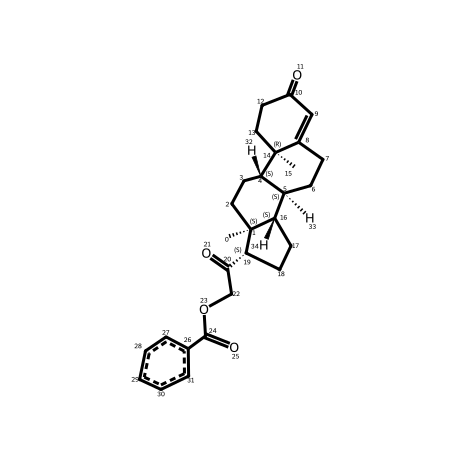 C[C@]12CC[C@H]3[C@@H](CCC4=CC(=O)CC[C@@]43C)[C@@H]1CC[C@@H]2C(=O)COC(=O)c1ccccc1